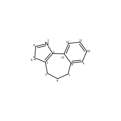 [c]1nc2c(s1)CCCc1ccccc1-2